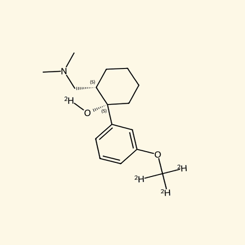 [2H]O[C@@]1(c2cccc(OC([2H])([2H])[2H])c2)CCCC[C@H]1CN(C)C